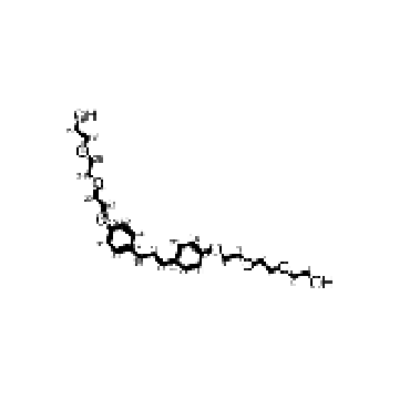 OCCOCCOCCOc1ccc(CCCc2ccc(OCCOCCOCCO)cc2)cc1